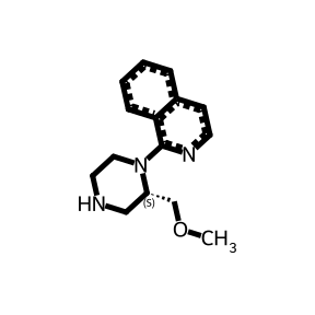 COC[C@@H]1CNCCN1c1nccc2ccccc12